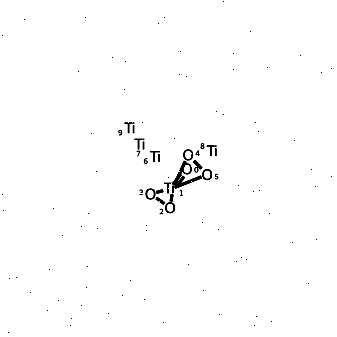 [O]=[Ti]12([O][O]1)[O][O]2.[Ti].[Ti].[Ti].[Ti]